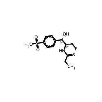 CCC(=S)N[C@H](CF)[C@@H](O)c1ccc(S(C)(=O)=O)cc1